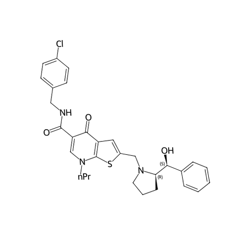 CCCn1cc(C(=O)NCc2ccc(Cl)cc2)c(=O)c2cc(CN3CCC[C@@H]3[C@@H](O)c3ccccc3)sc21